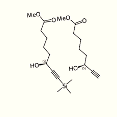 C#C[C@@H](O)CCCCC(=O)OC.COC(=O)CCCC[C@H](O)C#C[Si](C)(C)C